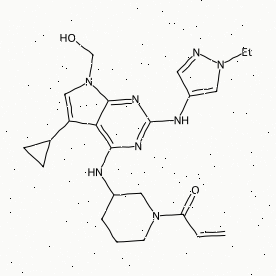 C=CC(=O)N1CCCC(Nc2nc(Nc3cnn(CC)c3)nc3c2c(C2CC2)cn3CO)C1